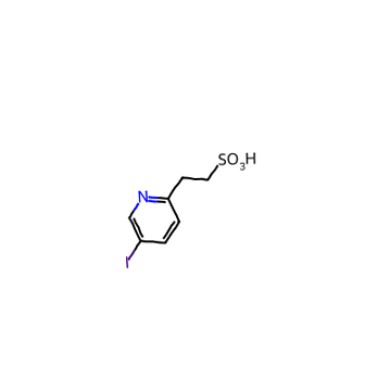 O=S(=O)(O)CCc1ccc(I)cn1